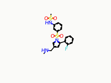 CNCc1cc(-c2ccccc2F)n(S(=O)(=O)c2cccc(NS(C)(=O)=O)c2)c1